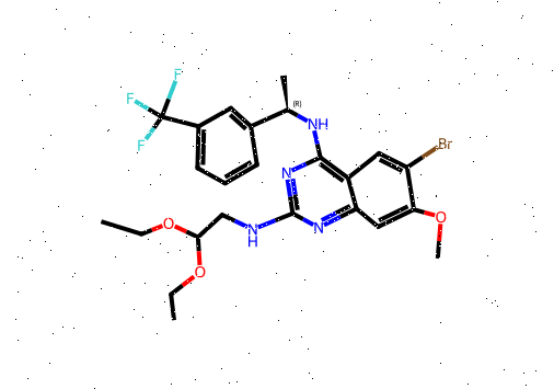 CCOC(CNc1nc(N[C@H](C)c2cccc(C(F)(F)F)c2)c2cc(Br)c(OC)cc2n1)OCC